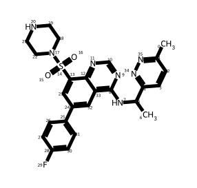 Cc1ccc(C(C)Nc2ncnc3c(S(=O)(=O)N4CCNCC4)cc(-c4ccc(F)cc4)cc23)nn1